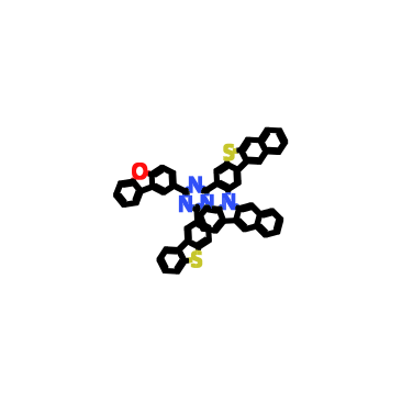 c1ccc2cc3c(cc2c1)sc1cc(-c2nc(-c4ccc5oc6ccccc6c5c4)nc(-c4ccc5sc6ccccc6c5c4)n2)c(-n2c4ccccc4c4cc5ccccc5cc42)cc13